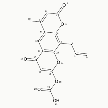 C=CCc1c2oc(=O)cc(C)c2cc2c(=O)cc(OC(=O)O)oc12